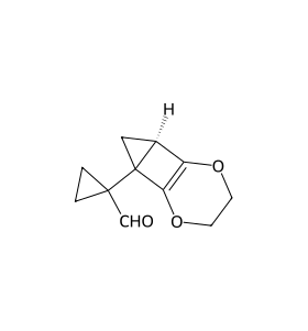 O=CC1(C23C[C@H]2C2=C3OCCO2)CC1